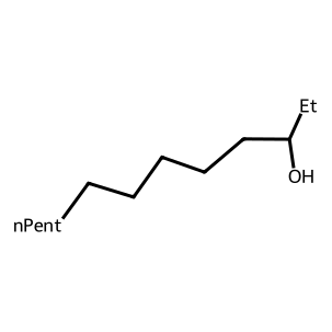 [CH2]CC(O)CCCCCCCCCC